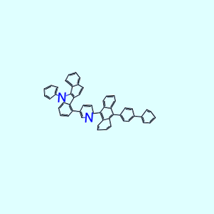 c1ccc(-c2ccc(-c3c4ccccc4c(-c4ccc(-c5cccc6c5c5ccc7ccccc7c5n6-c5ccccc5)cn4)c4ccccc34)cc2)cc1